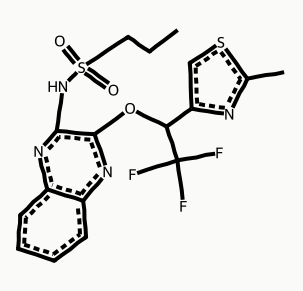 CCCS(=O)(=O)Nc1nc2ccccc2nc1OC(c1csc(C)n1)C(F)(F)F